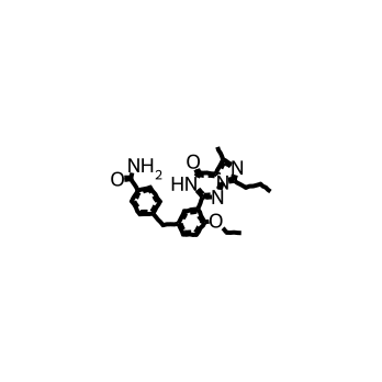 CCCc1nc(C)c2c(=O)[nH]c(-c3cc(Cc4ccc(C(N)=O)cc4)ccc3OCC)nn12